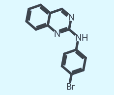 Brc1ccc(Nc2ncc3ccccc3n2)cc1